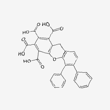 O=C(O)c1c2c(c(C(=O)O)c(C(=O)O)c1C(=O)O)Oc1c(ccc(-c3ccccc3)c1-c1ccccc1)C2